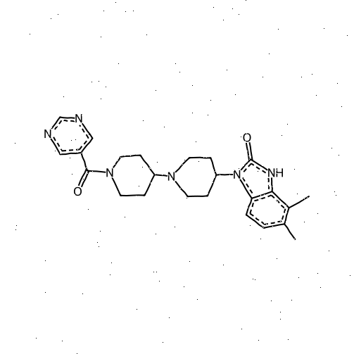 Cc1ccc2c([nH]c(=O)n2C2CCN(C3CCN(C(=O)c4cncnc4)CC3)CC2)c1C